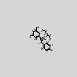 CCOCC.Cc1cc(C)cc(N(Cl)Cc2ccccc2)c1